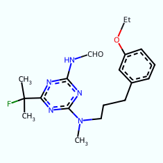 CCOc1cccc(CCCN(C)c2nc(NC=O)nc(C(C)(C)F)n2)c1